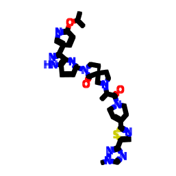 CC(C)Oc1ccc(-c2n[nH]c3ccc(N4CC[C@]5(CCN(C(C)C(=O)N6CC=C(c7ncc(-c8ncn(C)n8)s7)CC6)C5)C4=O)nc23)cn1